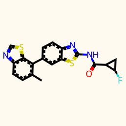 Cc1ccc2ncsc2c1-c1ccc2nc(NC(=O)C3CC3F)sc2c1